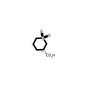 O=C(O)[C@@H]1CCCS(=O)(=O)C1